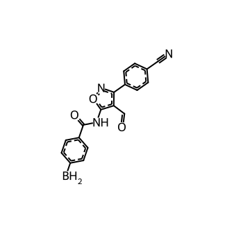 Bc1ccc(C(=O)Nc2onc(-c3ccc(C#N)cc3)c2C=O)cc1